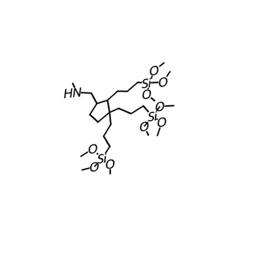 CNCC1CCC(CCC[Si](OC)(OC)OC)(CCC[Si](OC)(OC)OC)C1CCC[Si](OC)(OC)OC